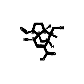 C[C@@]1(CO)[C@H]2C[C@@]3([C@@H](O)C=C2C(=O)O)[C@@H](C=O)CC[C@@H]13